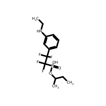 CCNc1cccc(C(F)(F)C(F)(F)P(=O)(O)OC(C)CC)c1